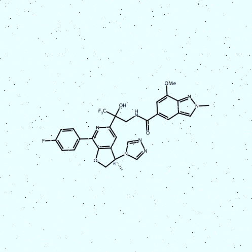 COc1cc(C(=O)NCC(O)(c2cc3c(c(-c4ccc(F)cc4)n2)OC[C@]3(C)n2cnnc2)C(F)(F)F)cc2cn(C)nc12